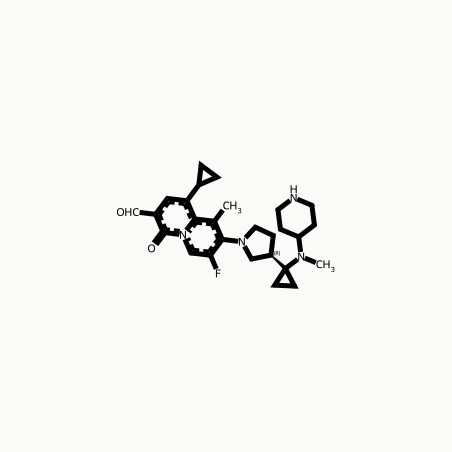 Cc1c(N2CC[C@@H](C3(N(C)C4CCNCC4)CC3)C2)c(F)cn2c(=O)c(C=O)cc(C3CC3)c12